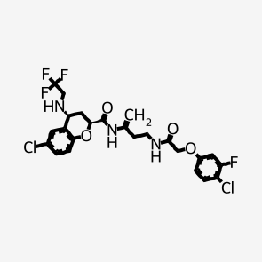 C=C(CCNC(=O)COc1ccc(Cl)c(F)c1)NC(=O)[C@@H]1C[C@H](NCC(F)(F)F)c2cc(Cl)ccc2O1